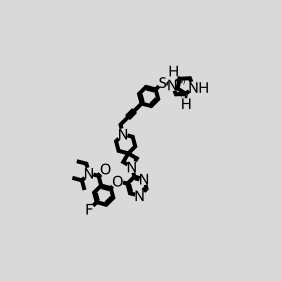 CCN(C(=O)c1cc(F)ccc1Oc1cncnc1N1CC2(CCN(CC#Cc3ccc(SN4C[C@@H]5C[C@H]4CN5)cc3)CC2)C1)C(C)C